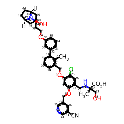 Cc1c(COc2cc(OCc3cncc(C#N)c3)c(CNC(C)(CO)C(=O)O)cc2Cl)cccc1-c1cccc(OCCCN2[C@@H]3CC[C@H]2C[C@@H](O)C3)c1